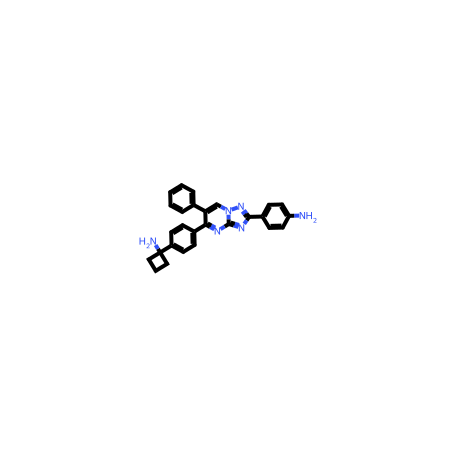 Nc1ccc(-c2nc3nc(-c4ccc(C5(N)CCC5)cc4)c(-c4ccccc4)cn3n2)cc1